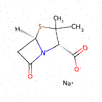 CC1(C)S[C@@H]2CC(=O)N2[C@H]1C(=O)[O-].[Na+]